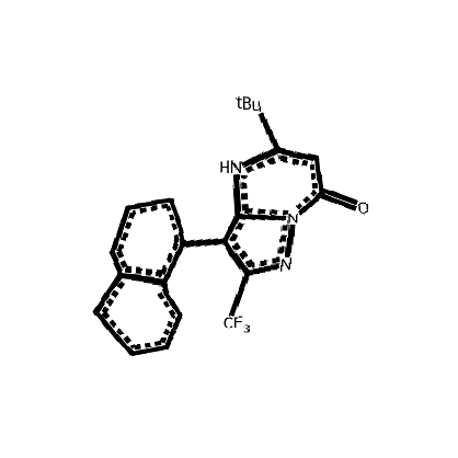 CC(C)(C)c1cc(=O)n2nc(C(F)(F)F)c(-c3cccc4ccccc34)c2[nH]1